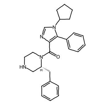 O=C(c1ncn(C2CCCC2)c1-c1ccccc1)N1CCNC[C@H]1Cc1ccccc1